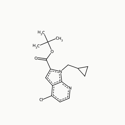 CC(C)(C)OC(=O)c1cc2c(Cl)ccnc2n1CC1CC1